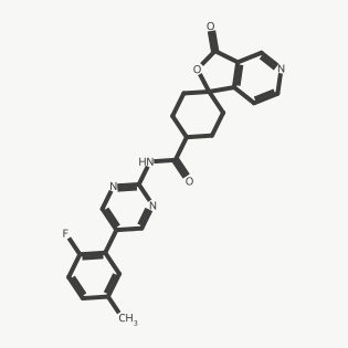 Cc1ccc(F)c(-c2cnc(NC(=O)C3CCC4(CC3)OC(=O)c3cnccc34)nc2)c1